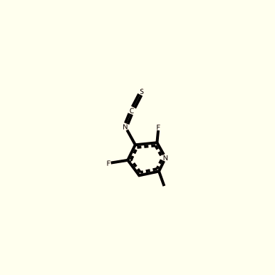 Cc1cc(F)c(N=C=S)c(F)n1